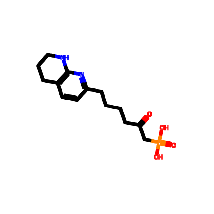 O=C(CCCCc1ccc2c(n1)NCCC2)CP(=O)(O)O